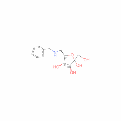 OCC1(O)O[C@H](CNCc2ccccc2)[C@H](O)[C@@H]1O